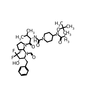 CC(=O)N(OC(C)(C)C)C1CCN(C(=O)N[C@H](C(=O)N2CCCC2N(C=O)[C@@H](Cc2ccccc2)[C@H](O)C(F)(F)F)C(C)C)CC1